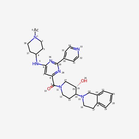 CC(=O)N1CCC(Nc2cc(C(=O)N3CCC(N4CCc5ccccc5C4)[C@@H](O)C3)nc(-c3ccncc3)n2)CC1